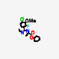 C=C(/N=C(\N=C/C)c1ccc(Cl)c(OC)c1F)C(=O)Oc1ccccc1